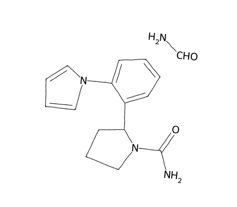 NC(=O)N1CCCC1c1ccccc1-n1cccc1.NC=O